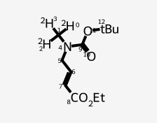 [2H]C([2H])([2H])N(C/C=C/C(=O)OCC)C(=O)OC(C)(C)C